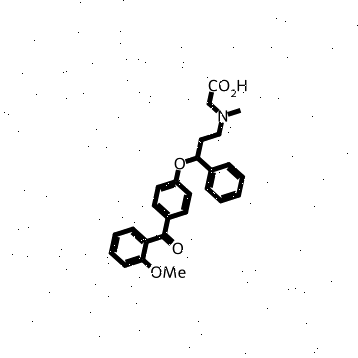 COc1ccccc1C(=O)c1ccc(OC(CCN(C)CC(=O)O)c2ccccc2)cc1